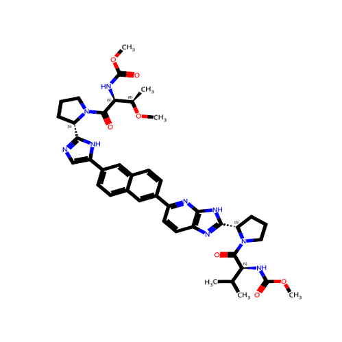 COC(=O)N[C@H](C(=O)N1CCC[C@H]1c1nc2ccc(-c3ccc4cc(-c5cnc([C@@H]6CCCN6C(=O)[C@@H](NC(=O)OC)[C@@H](C)OC)[nH]5)ccc4c3)nc2[nH]1)C(C)C